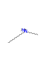 CCCCCCCCCCCCCCC1N(CCCCCCCCC)C=CN1C(C)C